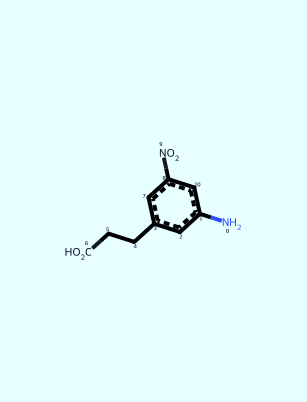 Nc1cc(CCC(=O)O)cc([N+](=O)[O-])c1